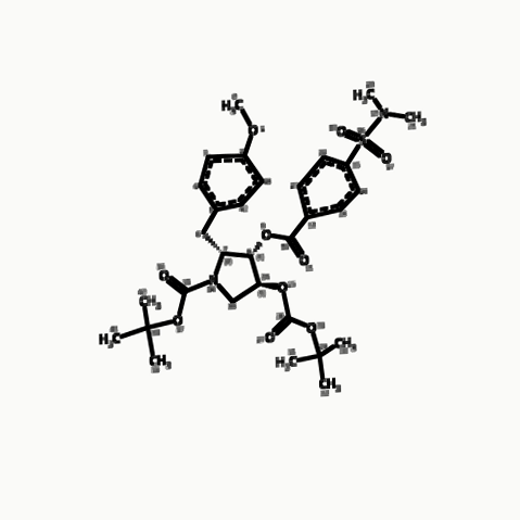 COc1ccc(C[C@@H]2[C@H](OC(=O)c3ccc(S(=O)(=O)N(C)C)cc3)[C@@H](OC(=O)OC(C)(C)C)CN2C(=O)OC(C)(C)C)cc1